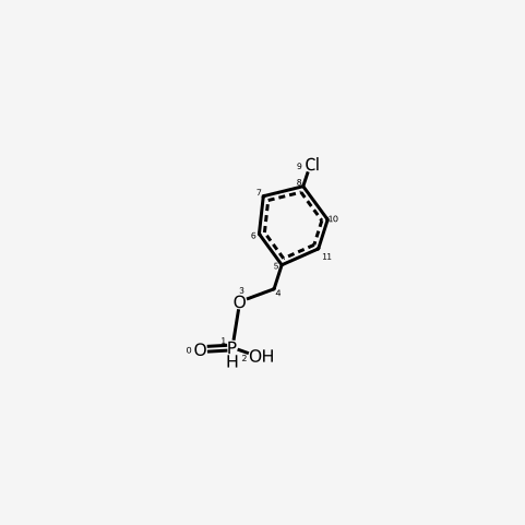 O=[PH](O)OCc1ccc(Cl)cc1